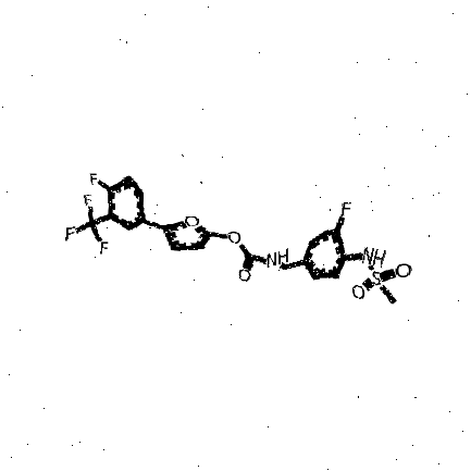 CS(=O)(=O)Nc1ccc(CNC(=O)Oc2ccc(-c3ccc(F)c(C(F)(F)F)c3)o2)cc1F